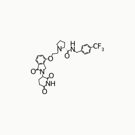 O=C1CCC(N2Cc3c(OCCN4CCC[C@@H]4C(=O)NCc4ccc(C(F)(F)F)cc4)cccc3C2=O)C(=O)N1